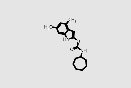 Cc1cc(C)c2cc(OC(=O)NC3CCCCCC3)[nH]c2c1